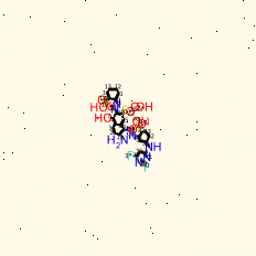 Nc1ccc2c(O)c(/N=N/c3ccccc3S(=O)(=O)O)c(SOOO)cc2c1/N=N/c1cc(Nc2cc(F)nc(F)n2)ccc1S(=O)(=O)O